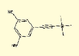 CCCc1cc(C#N)cc(C#C[Si](C)(C)C)c1